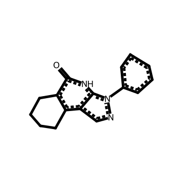 O=c1[nH]c2c(cnn2-c2ccccc2)c2c1CCCC2